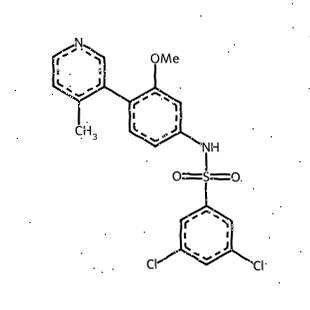 COc1cc(NS(=O)(=O)c2cc(Cl)cc(Cl)c2)ccc1-c1cnccc1C